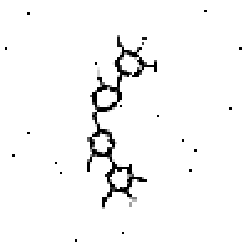 Fc1c(I)cc(-c2ccc(Cc3ccc(-c4cc(I)c(F)c(I)c4)c(I)c3)cc2I)cc1I